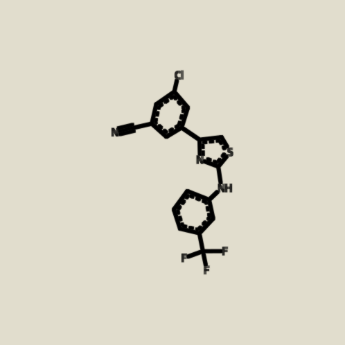 N#Cc1cc(Cl)cc(-c2csc(Nc3cccc(C(F)(F)F)c3)n2)c1